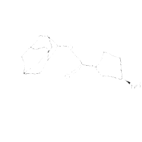 N[C@@H]1CCN(C(=O)OC2C3CC4CC(C3)CC2C4)C1